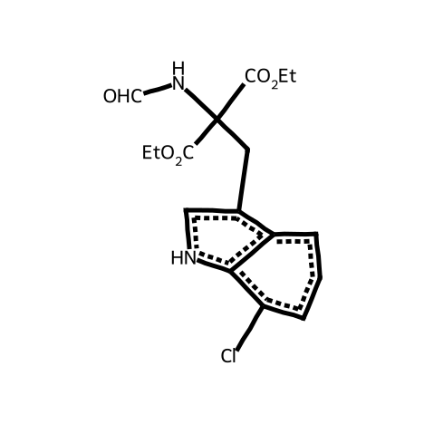 CCOC(=O)C(Cc1c[nH]c2c(Cl)cccc12)(NC=O)C(=O)OCC